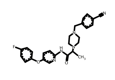 CC(C(=O)Nc1ccc(Oc2ccc(F)cc2)cn1)N1CCN(Cc2ccc(C#N)cc2)CC1